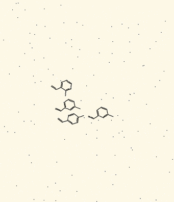 C=Cc1ccc(C)cc1.C=Cc1cccc(C)c1.C=Cc1cccc(C)c1.C=Cc1ccccc1C